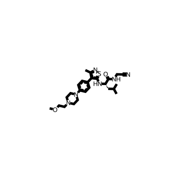 COCCN1CCN(c2ccc(-c3c(C)nsc3N[C@@H](CC(C)C)C(=O)NCC#N)cc2)CC1